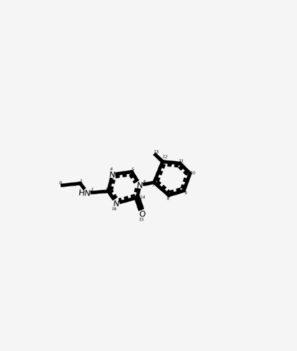 CCNc1ncn(-c2ccccc2C)c(=O)n1